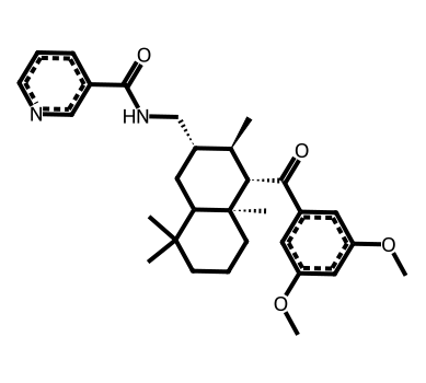 COc1cc(OC)cc(C(=O)[C@H]2[C@H](C)[C@@H](CNC(=O)c3cccnc3)CC3C(C)(C)CCC[C@@]32C)c1